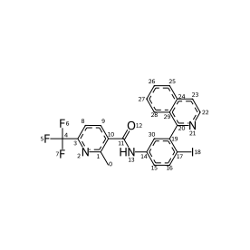 Cc1nc(C(F)(F)F)ccc1C(=O)Nc1ccc(I)c(-c2nccc3ccccc23)c1